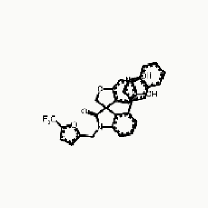 O=C1N(Cc2ccc(C(F)(F)F)o2)c2cccc(-c3cnc4ccccc4c3)c2C12COc1cc(O)c(O)cc12